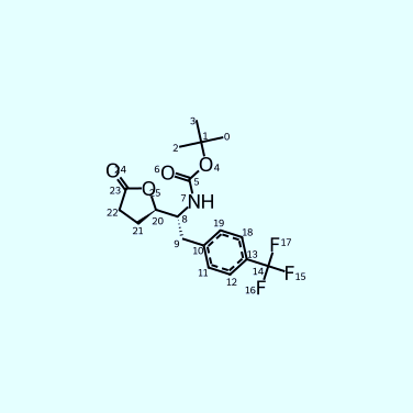 CC(C)(C)OC(=O)N[C@H](Cc1ccc(C(F)(F)F)cc1)[C@H]1CCC(=O)O1